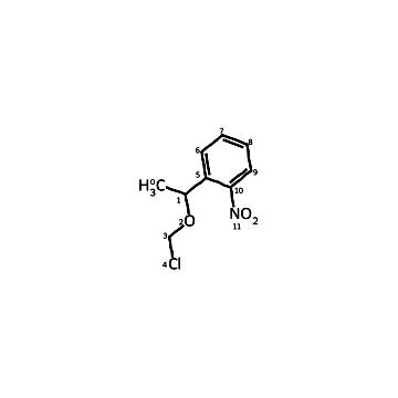 CC(OCCl)c1ccccc1[N+](=O)[O-]